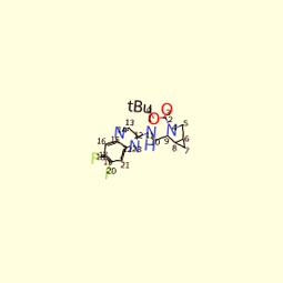 CC(C)(C)OC(=O)N1CC2CC2C1CNc1cnc2cc(F)c(F)cc2n1